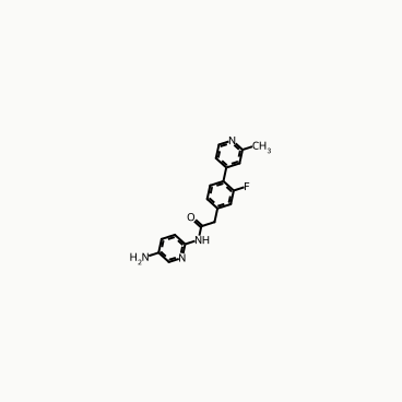 Cc1cc(-c2ccc(CC(=O)Nc3ccc(N)cn3)cc2F)ccn1